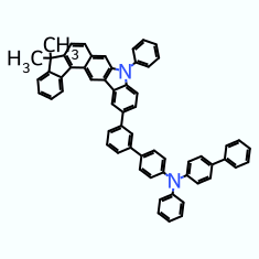 CC1(C)c2ccccc2-c2c1ccc1cc3c(cc21)c1cc(-c2cccc(-c4ccc(N(c5ccccc5)c5ccc(-c6ccccc6)cc5)cc4)c2)ccc1n3-c1ccccc1